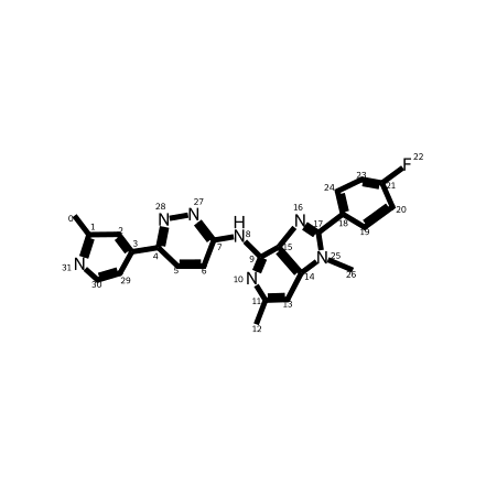 Cc1cc(-c2ccc(Nc3nc(C)cc4c3nc(-c3ccc(F)cc3)n4C)nn2)ccn1